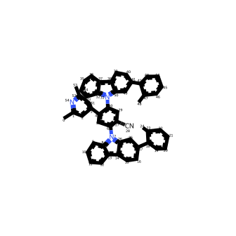 Cc1cc(-c2cc(-n3c4ccccc4c4ccc(-c5ccccc5C)cc43)c(C#N)cc2-n2c3ccccc3c3ccc(-c4ccccc4C)cc32)cc(C)n1